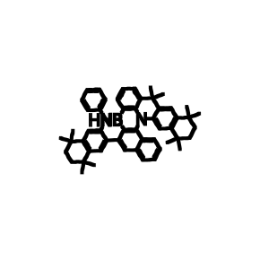 CC1(C)CCC(C)(C)c2cc(-c3cc4ccccc4c4c3Bc3cccc5c3N4c3cc4c(cc3C5(C)C)C(C)(C)CCC4(C)C)c(Nc3ccccc3)cc21